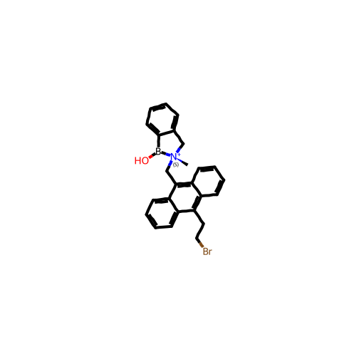 C[N@+]1(Cc2c3ccccc3c(CCBr)c3ccccc23)Cc2ccccc2B1O